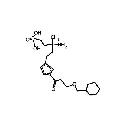 CC(N)(CCc1ccc(C(=O)CCOCC2CCCCC2)s1)CCP(=O)(O)O